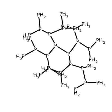 PP(P)P(P)P(P(P)P)P(P(P(P)P)P(P)P)P(P(P(P)P)P(P)P)P(P(P)P)P(P)P